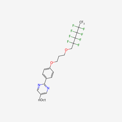 CCCCCCCCc1cnc(-c2ccc(OCCCOCC(F)(F)C(F)(F)C(F)(F)C(F)(F)C(F)(F)F)cc2)nc1